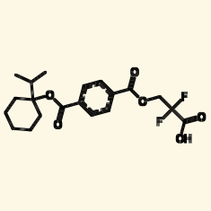 CC(C)C1(OC(=O)c2ccc(C(=O)OCC(F)(F)C(=O)O)cc2)CCCCC1